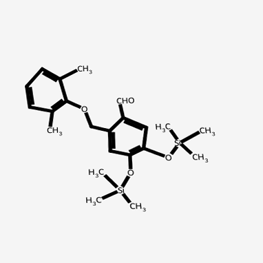 Cc1cccc(C)c1OCc1cc(O[Si](C)(C)C)c(O[Si](C)(C)C)cc1C=O